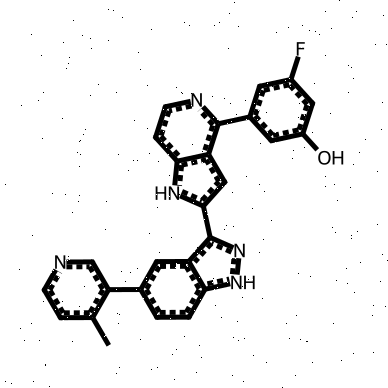 Cc1ccncc1-c1ccc2[nH]nc(-c3cc4c(-c5cc(O)cc(F)c5)nccc4[nH]3)c2c1